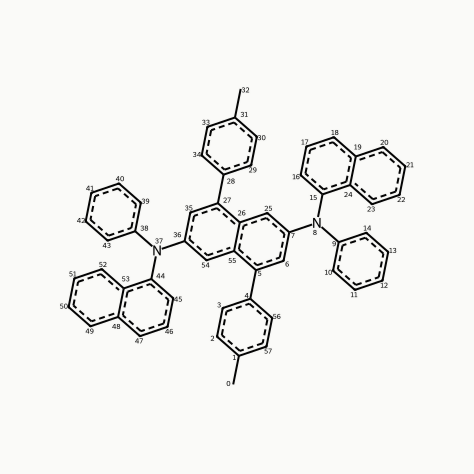 Cc1ccc(-c2cc(N(c3ccccc3)c3cccc4ccccc34)cc3c(-c4ccc(C)cc4)cc(N(c4ccccc4)c4cccc5ccccc45)cc23)cc1